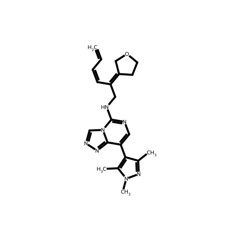 C=C/C=C\C(CNc1ncc(-c2c(C)nn(C)c2C)c2nncn12)=C1\CCOC1